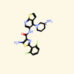 Nc1sc(-c2c(F)cccc2F)nc1C(=O)Nc1cnc2sccc2c1N1CCC[C@H](N)C1